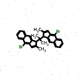 CC1=Cc2c(cc3ccccc3c2Br)C1C(C)(C)C1C(C)=Cc2c1cc1ccccc1c2Br